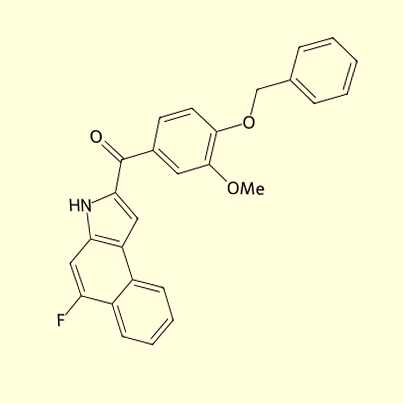 COc1cc(C(=O)c2cc3c(cc(F)c4ccccc43)[nH]2)ccc1OCc1ccccc1